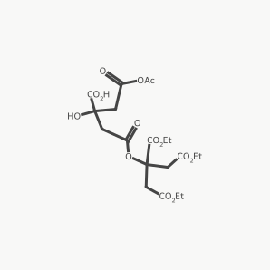 CCOC(=O)CC(CC(=O)OCC)(OC(=O)CC(O)(CC(=O)OC(C)=O)C(=O)O)C(=O)OCC